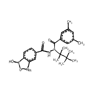 Cc1cc(C)cc(C(=O)N(NC(=O)c2ccc3c(c2)NOB3O)C(C)(C)C(C)(C)C)c1